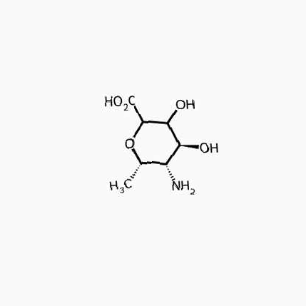 C[C@@H]1OC(C(=O)O)C(O)[C@@H](O)[C@@H]1N